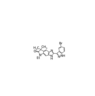 CCN1C(=O)C(C)(C)c2cc3nc(-c4n[nH]c5ccc(Br)cc45)[nH]c3cc21